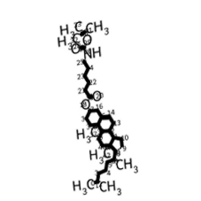 CC(C)CCC[C@@H](C)[C@H]1CCC2C3CC=C4CC(OC(=O)CCCCCNC(=O)OC(C)(C)C)CC[C@]4(C)C3CC[C@@]21C